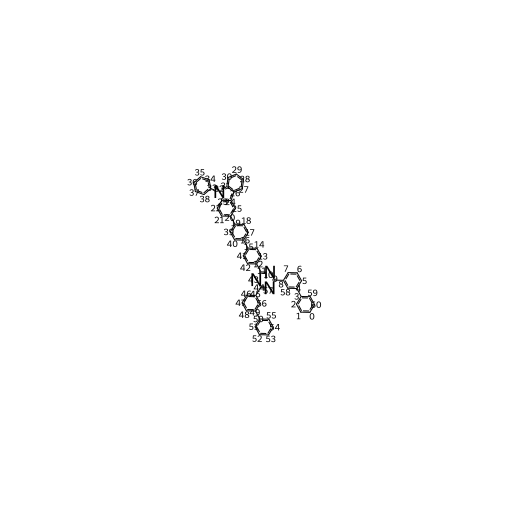 c1ccc(-c2cccc(-c3nc(-c4ccc(-c5ccc(-c6ccc7c(c6)c6ccccc6n7-c6ccccc6)cc5)cc4)nc(-c4cccc(-c5ccccc5)c4)n3)c2)cc1